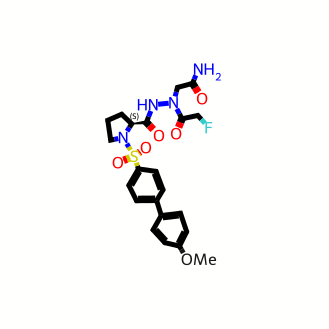 COc1ccc(-c2ccc(S(=O)(=O)N3CCC[C@H]3C(=O)NN(CC(N)=O)C(=O)CF)cc2)cc1